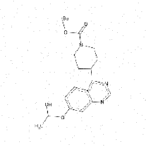 CC(O)Oc1ccc2c(C3CCN(C(=O)OC(C)(C)C)CC3)ncnc2c1